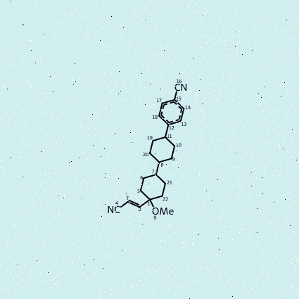 COC1(C=CC#N)CCC(C2CCC(c3ccc(C#N)cc3)CC2)CC1